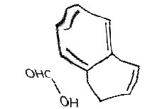 C1=Cc2ccccc2C1.O=CO